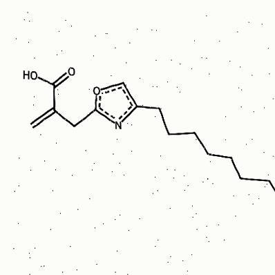 C=C(Cc1nc(CCCCCCCC)co1)C(=O)O